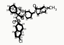 CN1C=C2C(=O)N(C3CCN(C(=O)[C@@](CS(=O)(=O)c4ccc5cc(Cl)ccc5c4)(NC(=O)O)c4ccccc4)CC3)CN2C1